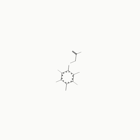 Cc1c(F)c(F)c(SCC(=O)O)c(F)c1F